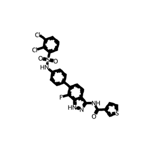 O=C(Nc1n[nH]c2c(F)c(-c3ccc(NS(=O)(=O)c4cccc(Cl)c4Cl)cc3)ccc12)c1ccsc1